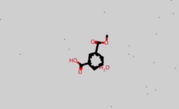 COC(=O)c1cccc(C(=O)O)c1.O